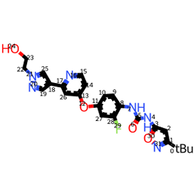 CC(C)(C)c1cc(NC(=O)Nc2ccc(Oc3ccnc(-c4cnn(CCO)c4)c3)cc2F)on1